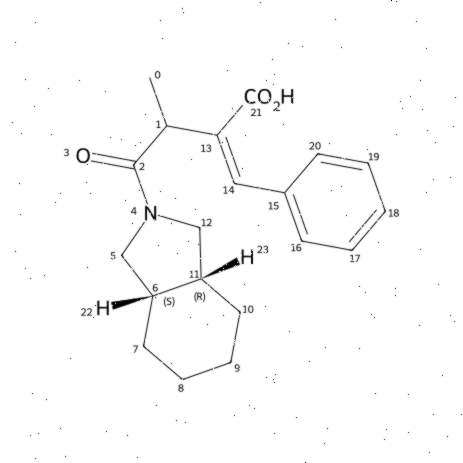 CC(C(=O)N1C[C@H]2CCCC[C@H]2C1)C(=Cc1ccccc1)C(=O)O